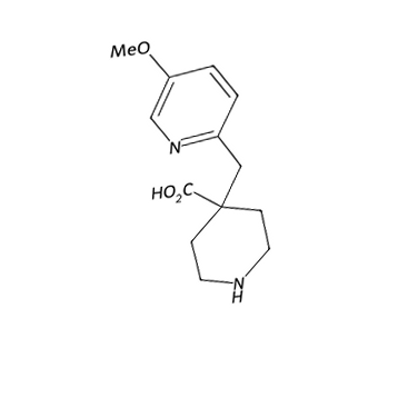 COc1ccc(CC2(C(=O)O)CCNCC2)nc1